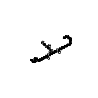 CC/C=C\C/C=C\C/C=C\CCCCCCCC(=O)OCCCC(CCCOC(=O)CCCCCCC/C=C\C/C=C\C/C=C\CC)OC(=O)NCCOCCN(C)C